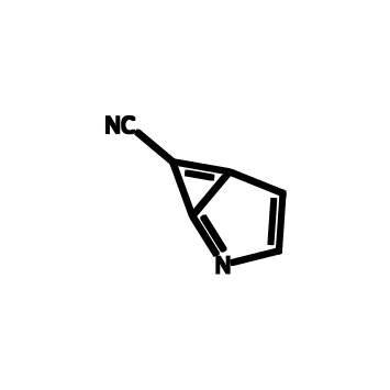 N#Cc1c2ccnc1-2